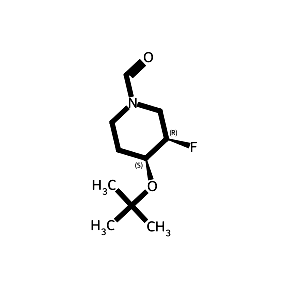 CC(C)(C)O[C@H]1CCN(C=O)C[C@H]1F